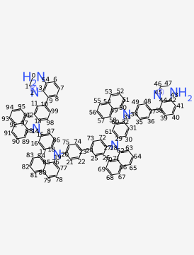 C/C=N\c1c(N)cccc1-c1ccc(N(c2ccc(N(c3ccc(-c4ccc(N(c5ccc(N(c6ccc(-c7cccc(N)c7/N=C\C)cc6)c6cccc7ccccc67)cc5)c5cccc6ccccc56)cc4)cc3)c3cccc4ccccc34)cc2)c2cccc3ccccc23)cc1